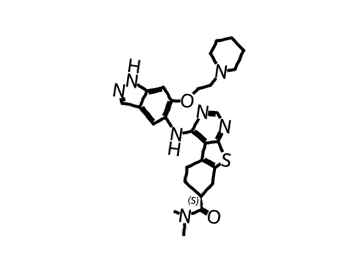 CN(C)C(=O)[C@H]1CCc2c(sc3ncnc(Nc4cc5cn[nH]c5cc4OCCN4CCCCC4)c23)C1